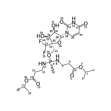 CC(C)OC(=O)CCNP(=S)(NCCC(=O)OC(C)C)OC[C@@]1(C(F)F)O[C@@H](n2ccc(=O)[nH]c2=O)[C@H](O)[C@@H]1O